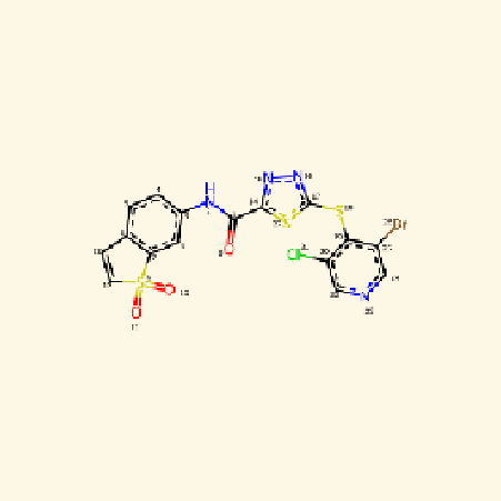 O=C(Nc1ccc2c(c1)S(=O)(=O)C=C2)c1nnc(Sc2c(Cl)cncc2Br)s1